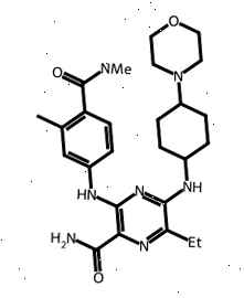 CCc1nc(C(N)=O)c(Nc2ccc(C(=O)NC)c(C)c2)nc1NC1CCC(N2CCOCC2)CC1